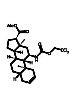 COC(=O)[C@H]1CC[C@H]2[C@@H]3CC[C@H]4CC=CC[C@]4(C)[C@H]3[C@H](NC(=O)OCC(Cl)(Cl)Cl)C[C@]12C